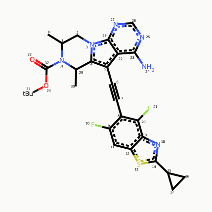 CC1Cn2c(c(C#Cc3c(F)cc4sc(C5CC5)nc4c3F)c3c(N)ncnc32)C(C)N1C(=O)OC(C)(C)C